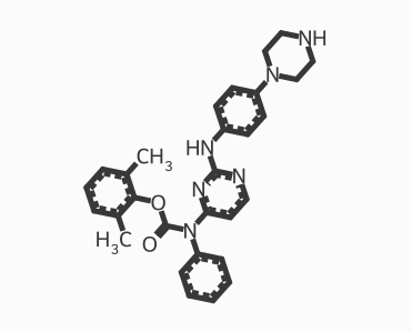 Cc1cccc(C)c1OC(=O)N(c1ccccc1)c1ccnc(Nc2ccc(N3CCNCC3)cc2)n1